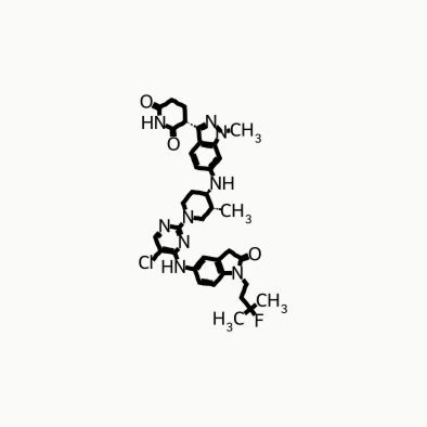 C[C@@H]1CN(c2ncc(Cl)c(Nc3ccc4c(c3)CC(=O)N4CCC(C)(C)F)n2)CC[C@H]1Nc1ccc2c([C@H]3CCC(=O)NC3=O)nn(C)c2c1